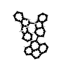 c1cc2ccc3cccc4c(-c5ccc6c7ccccc7n(-c7nc8ccccc8c8nc9ccccc9n78)c6c5)cc(c1)c2c34